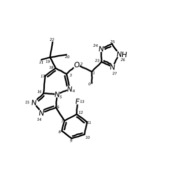 CC(Oc1nn2c(-c3ccccc3F)nnc2cc1C(C)(C)C)c1nc[nH]n1